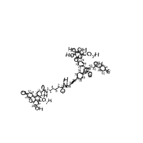 O=C(CCCCCNC(=O)c1ccc(-c2c3ccc(=O)cc-3oc3cc(O)ccc23)c(C(=O)O)c1)NCC#Cc1ccc(N2C(=O)[C@H](CC[C@H](O)c3ccc(F)cc3)[C@H]2c2ccc(O[C@@H]3O[C@H](C(=O)O)[C@@H](O)[C@H](O)[C@H]3O)cc2)cc1